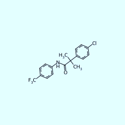 CC(C)(C(=O)Nc1ccc(C(F)(F)F)cc1)c1ccc(Cl)cc1